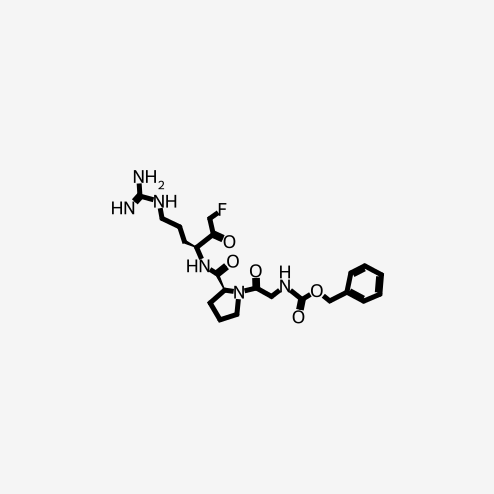 N=C(N)NCCC[C@H](NC(=O)[C@@H]1CCCN1C(=O)CNC(=O)OCc1ccccc1)C(=O)CF